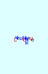 CC(=O)N(C)C1CCN(c2ccc(NC(=O)CNc3ccc(Oc4ccccc4)cc3)cc2)C1